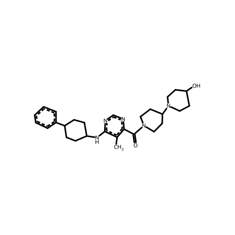 Cc1c(NC2CCC(c3ccccc3)CC2)ncnc1C(=O)N1CCC(N2CCC(O)CC2)CC1